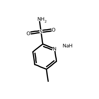 Cc1ccc(S(N)(=O)=O)nc1.[NaH]